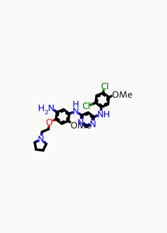 COc1cc(Nc2cc(Nc3cc(N)c(OCCN4CCCC4)cc3OC)ncn2)c(Cl)cc1Cl